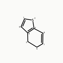 [c]1csc2c1CCC=C2